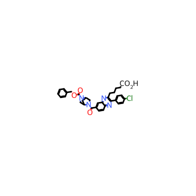 O=C(O)CCCCc1nc2cc(C(=O)N3CC4CC3CN4C(=O)OCc3ccccc3)ccc2nc1-c1ccc(Cl)cc1